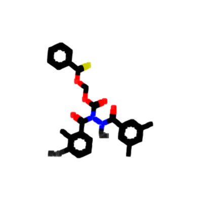 COc1cccc(C(=O)N(C(=O)OCOC(=S)c2ccccc2)N(C(=O)c2cc(C)cc(C)c2)C(C)(C)C)c1C